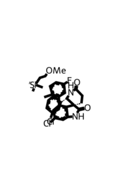 COCC[Si](C)(C)C.Cc1ccc(F)cc1-c1cc(Cl)cc2c1[C@]1(CCC(=O)N[C@H]1c1cccc(Cl)c1)C(=O)N2